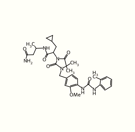 COc1cc(CN2C(=O)N(C(CC3CC3)C(=O)NC(C)CC(N)=O)C(=O)C2(C)C)ccc1NC(=O)Nc1ccccc1C